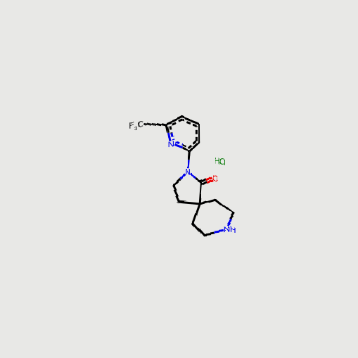 Cl.O=C1N(c2cccc(C(F)(F)F)n2)CCC12CCNCC2